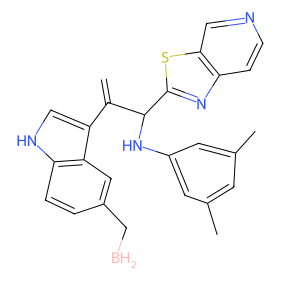 BCc1ccc2[nH]cc(C(=C)C(Nc3cc(C)cc(C)c3)c3nc4ccncc4s3)c2c1